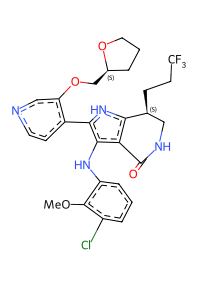 COc1c(Cl)cccc1Nc1c(-c2ccncc2OC[C@@H]2CCCO2)[nH]c2c1C(=O)NC[C@@H]2CCC(F)(F)F